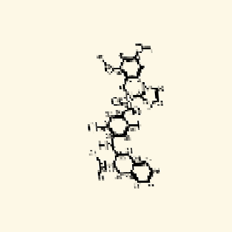 COc1ccc(CN(c2nccs2)S(=O)(=O)c2cc(Cl)c(N[C@H]3Cc4ccccc4C[C@@H]3N(C)C)cc2F)c(OC)c1